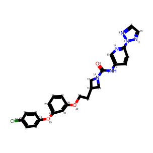 O=C(Nc1ccc(-n2nccn2)nc1)N1CC(CCOc2cccc(Oc3ccc(Cl)cc3)c2)C1